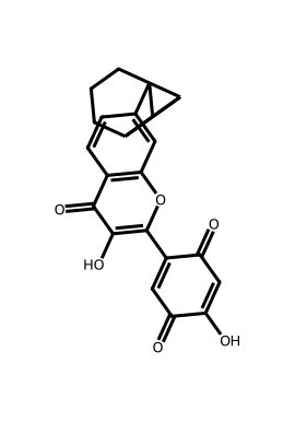 O=C1C=C(c2oc3cc(C45CCCC6C4C65)ccc3c(=O)c2O)C(=O)C=C1O